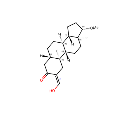 CO[C@H]1CC[C@H]2[C@@H]3CC[C@H]4CC(=O)/C(=C\O)C[C@]4(C)[C@H]3CC[C@]12C